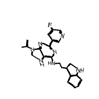 C=C(C)N1CNc2c(NCCC3CNC4C=CC=CC34)nc(-c3cncc(F)c3)nc21